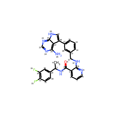 CC(NC(=O)c1cccnc1NCc1cccc(-c2c[nH]c3ncnc(N)c23)c1)c1ccc(F)c(F)c1